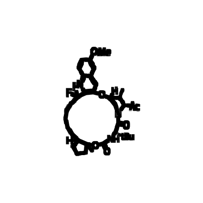 COc1ccc2nc3c(cc2c1)O[C@H]1CN(C(=O)[C@H](C(C)(C)C)NC(=O)O[C@]2(C)CCC[C@H]2CCCCCC3(F)F)[C@H](C(C)=O)[C@@H]1C